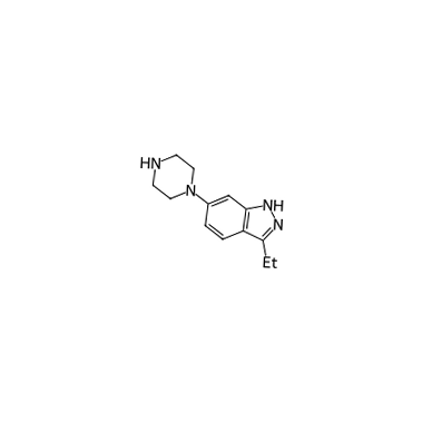 CCc1n[nH]c2cc(N3CCNCC3)ccc12